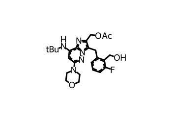 CC(=O)OCc1nc2c(NC(C)(C)C)cc(N3CCOCC3)nn2c1Cc1cccc(F)c1CO